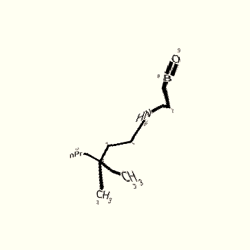 CCCC(C)(C)CCNCB=O